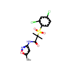 CC(C)(C)c1cc(NC(=O)C(C)(C)S(=O)(=O)c2ccc(Cl)cc2Cl)no1